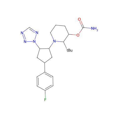 CC(C)(C)C1C(OC(N)=O)CCCN1C1CC(c2ccc(F)cc2)CC1n1ncnn1